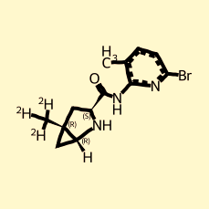 [2H]C([2H])([2H])[C@@]12C[C@@H](C(=O)Nc3nc(Br)ccc3C)N[C@@H]1C2